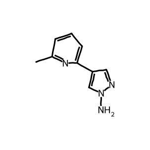 Cc1cccc(-c2cnn(N)c2)n1